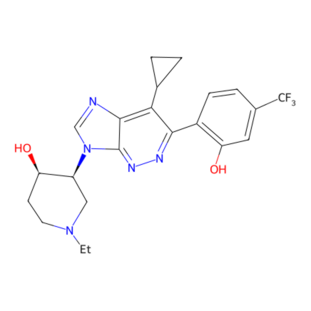 CCN1CC[C@@H](O)[C@@H](n2cnc3c(C4CC4)c(-c4ccc(C(F)(F)F)cc4O)nnc32)C1